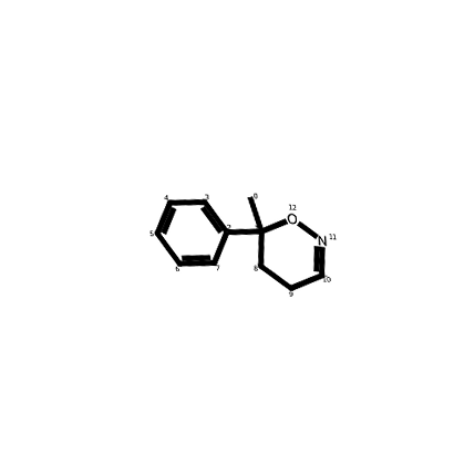 CC1(c2ccccc2)CC[C]=NO1